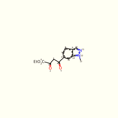 CCOC(=O)C(=O)CC(=O)c1ccc2cnn(C)c2c1